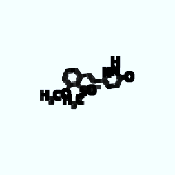 COc1cccc(/C=C/c2ccc(=O)[nH]n2)c1[S+](C)[O-]